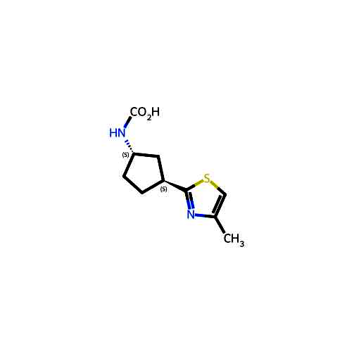 Cc1csc([C@H]2CC[C@H](NC(=O)O)C2)n1